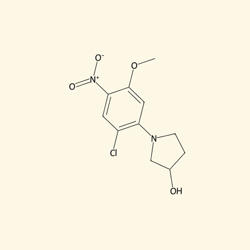 COc1cc(N2CCC(O)C2)c(Cl)cc1[N+](=O)[O-]